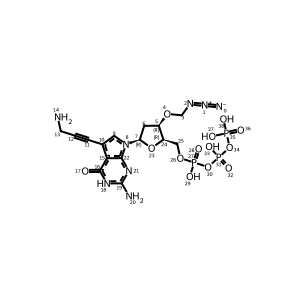 [N-]=[N+]=NCO[C@@H]1C[C@H](n2cc(C#CCN)c3c(=O)[nH]c(N)nc32)O[C@@H]1COP(=O)(O)OP(=O)(O)OP(=O)(O)O